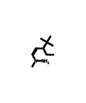 CCC(/C=C\N(C)N)C(C)(C)C